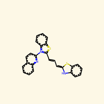 C(=Cc1sc2ccccc2[n+]1-c1ccc2ccccc2n1)C=C1Nc2ccccc2S1